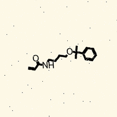 C=CC(=O)NCCCCOC(C)(C)c1ccccc1